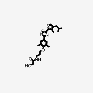 Cc1cc(-c2noc(-c3scc(CC(C)C)c3C)n2)cc(C)c1OCCCNC(=O)CO